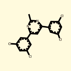 Cc1nc(-c2cc(Cl)cc(Cl)c2)cc(-c2cc(Cl)cc(Cl)c2)n1